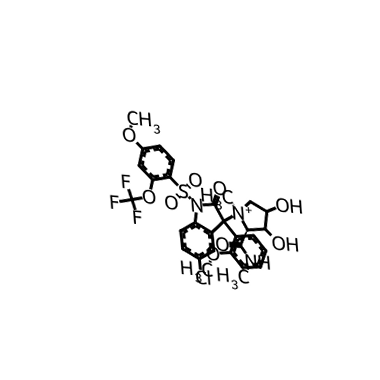 CNC(=O)[C@@H]1C(O)C(O)C[N+]1(C)C1(c2ccccc2OC)C(=O)N(S(=O)(=O)c2ccc(OC)cc2OC(F)(F)F)c2ccc(Cl)cc21